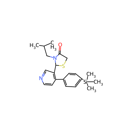 CC(C)CN1C(=O)CSC1c1cnccc1-c1ccc([Si](C)(C)C)cc1